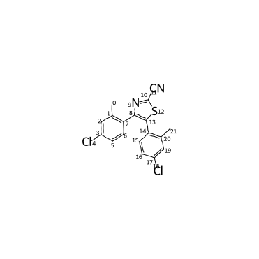 Cc1cc(Cl)ccc1-c1nc(C#N)sc1-c1ccc(Cl)cc1C